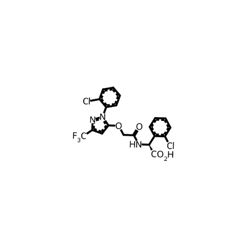 O=C(COc1cc(C(F)(F)F)nn1-c1ccccc1Cl)N[C@H](C(=O)O)c1ccccc1Cl